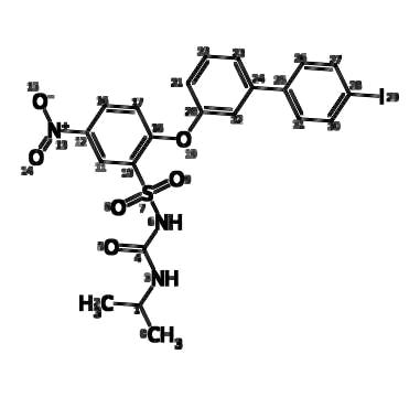 CC(C)NC(=O)NS(=O)(=O)c1cc([N+](=O)[O-])ccc1Oc1cccc(-c2ccc(I)cc2)c1